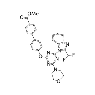 COC(=O)c1ccc(-c2ccc(Oc3nc(N4CCOCC4)nc(-n4c(C(F)F)nc5ccccc54)n3)cc2)cc1